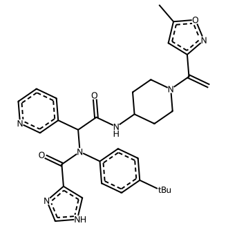 C=C(c1cc(C)on1)N1CCC(NC(=O)C(c2cccnc2)N(C(=O)c2c[nH]cn2)c2ccc(C(C)(C)C)cc2)CC1